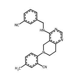 Cc1ccc(N2CCc3ncnc(NCc4cccc(C#N)c4)c3C2)c(C#N)c1